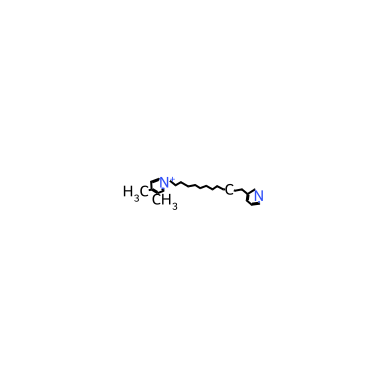 Cc1cc[n+](CCCCCCCCCCCCCc2cccnc2)cc1C